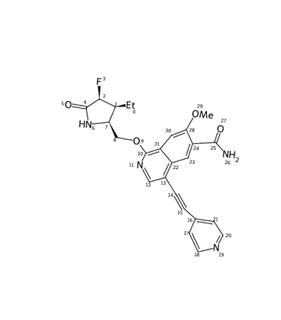 CC[C@@H]1[C@H](F)C(=O)N[C@@H]1COc1ncc(C#Cc2ccncc2)c2cc(C(N)=O)c(OC)cc12